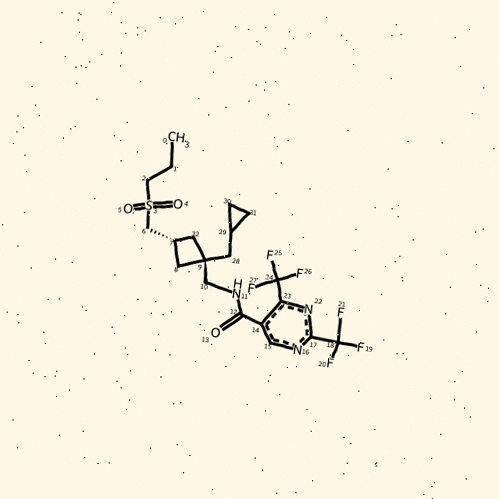 CCCS(=O)(=O)C[C@H]1C[C@@](CNC(=O)c2cnc(C(F)(F)F)nc2C(F)(F)F)(CC2CC2)C1